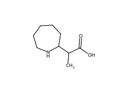 CC(C(=O)O)C1CCCCCN1